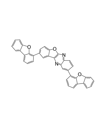 c1ccc2c(c1)oc1c(-c3ccc4nc5oc6ccc(-c7cccc8c7oc7ccccc78)cc6c5nc4c3)cccc12